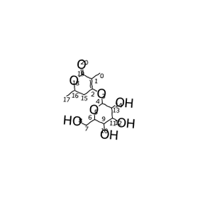 CC1=C(OC2OC(CO)C(O)C(O)C2O)CC(C)OC1=O